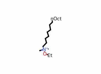 CCCCCCCCCCCCCCCC[N+](C)(C)OCC